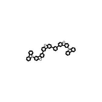 c1cc(-c2ccc3oc4ccc(-c5ccc6oc7ccc(-n8c9ccccc9c9ccccc98)cc7c6c5)cc4c3c2)cc(-c2ccc3oc4ccc(-n5c6ccccc6c6ccccc65)cc4c3c2)c1